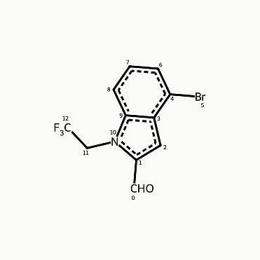 O=Cc1cc2c(Br)cccc2n1CC(F)(F)F